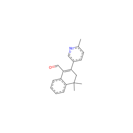 Cc1ccc(C2=C(C=O)c3ccccc3C(C)(C)C2)cn1